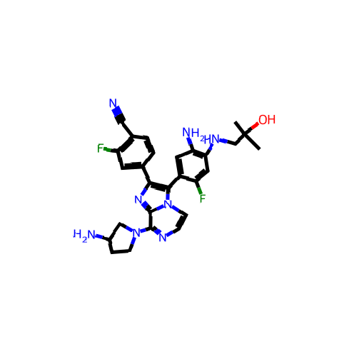 CC(C)(O)CNc1cc(F)c(-c2c(-c3ccc(C#N)c(F)c3)nc3c(N4CCC(N)C4)nccn23)cc1N